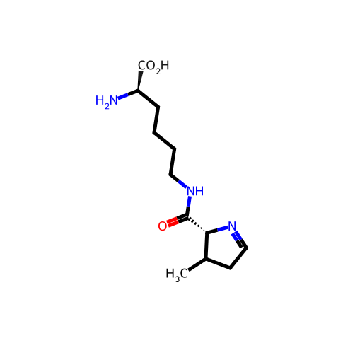 CC1CC=N[C@H]1C(=O)NCCCC[C@@H](N)C(=O)O